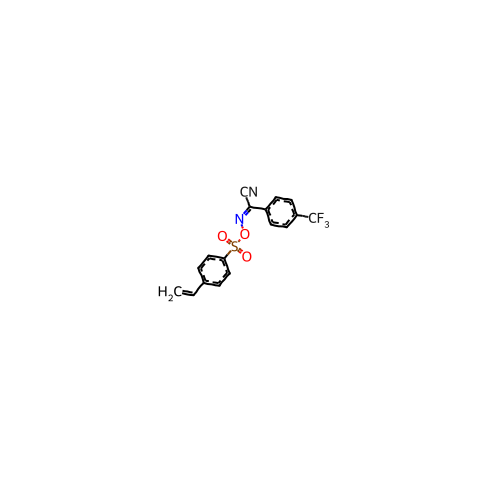 C=Cc1ccc(S(=O)(=O)O/N=C(/C#N)c2ccc(C(F)(F)F)cc2)cc1